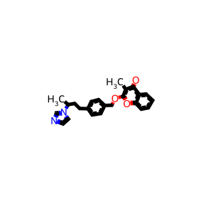 Cc1c(OCc2ccc(CCC(C)n3ccnc3)cc2)oc2ccccc2c1=O